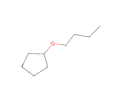 CCC[CH]OC1CCCC1